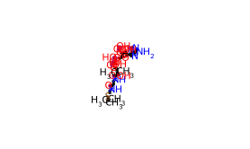 CC(C)(C)SCCNC(=O)CCNC(=O)C(O)C(C)(C)COP(=O)(O)OP(=O)(O)OCC1OC(C2C=Nc3c(N)ncnc32)C(O)C1OP(=O)(O)O